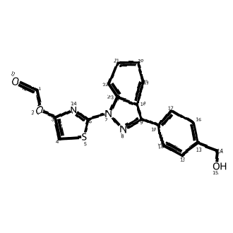 O=COc1csc(-n2nc(-c3ccc(CO)cc3)c3ccccc32)n1